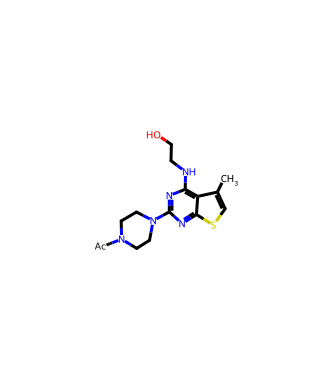 CC(=O)N1CCN(c2nc(NCCO)c3c(C)csc3n2)CC1